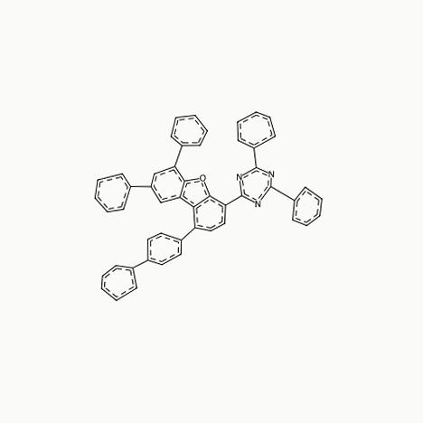 c1ccc(-c2ccc(-c3ccc(-c4nc(-c5ccccc5)nc(-c5ccccc5)n4)c4oc5c(-c6ccccc6)cc(-c6ccccc6)cc5c34)cc2)cc1